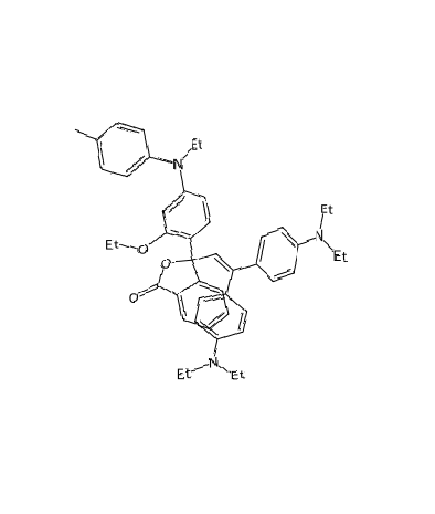 CCOc1cc(N(CC)c2ccc(C)cc2)ccc1C1(C=C(c2ccc(N(CC)CC)cc2)c2ccc(N(CC)CC)cc2)OC(=O)c2ccccc21